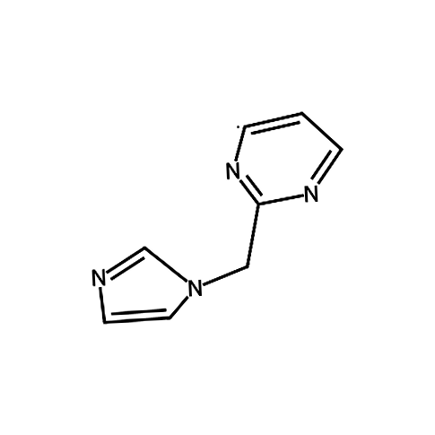 [c]1ccnc(Cn2ccnc2)n1